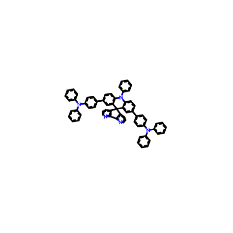 c1ccc(N(c2ccccc2)c2ccc(-c3ccc4c(c3)C3(c5cc(-c6ccc(N(c7ccccc7)c7ccccc7)cc6)ccc5N4c4ccccc4)c4cccnc4-c4ncccc43)cc2)cc1